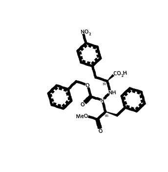 COC(=O)[C@H](Cc1ccccc1)N(N[C@@H](Cc1ccc([N+](=O)[O-])cc1)C(=O)O)C(=O)OCc1ccccc1